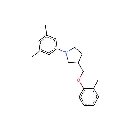 Cc1cc(C)cc(N2CCC(COc3ccccc3C)C2)c1